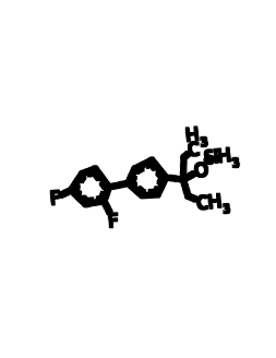 CCC(CC)(O[SiH3])c1ccc(-c2ccc(F)cc2F)cc1